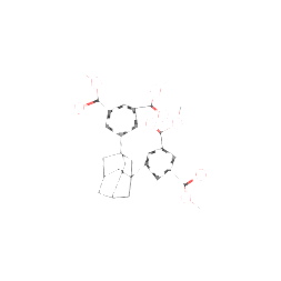 COC(=O)c1cc(C(=O)OC)cc(C23CC4CC(C2)CC(c2cc(C(=O)OC)cc(C(=O)OC)c2)(C4)C3)c1